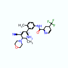 CCC(/C(C#N)=C\C(=C/N)c1cc(NC(=O)C2=NC=CC(C(F)(F)F)C2)ccc1C)N1CCOCC1